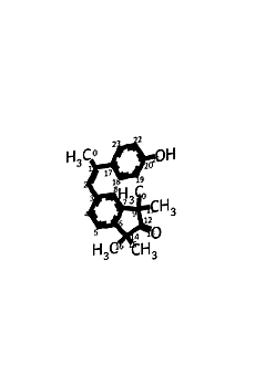 CC(=Cc1ccc2c(c1)C(C)(C)C(=O)C2(C)C)c1ccc(O)cc1